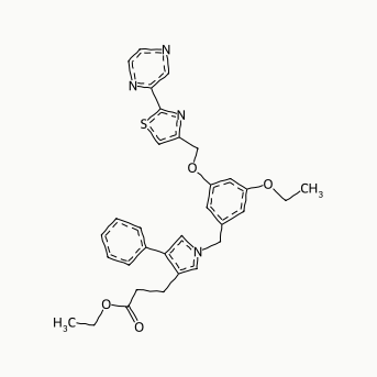 CCOC(=O)CCc1cn(Cc2cc(OCC)cc(OCc3csc(-c4cnccn4)n3)c2)cc1-c1ccccc1